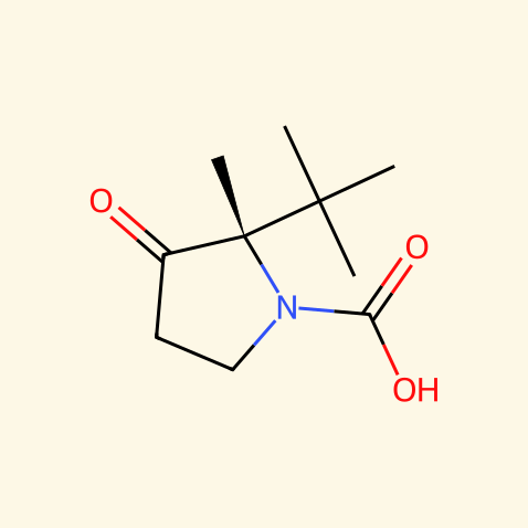 CC(C)(C)[C@@]1(C)C(=O)CCN1C(=O)O